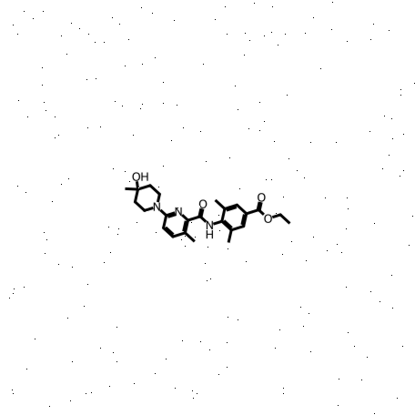 CCOC(=O)c1cc(C)c(NC(=O)c2nc(N3CCC(C)(O)CC3)ccc2C)c(C)c1